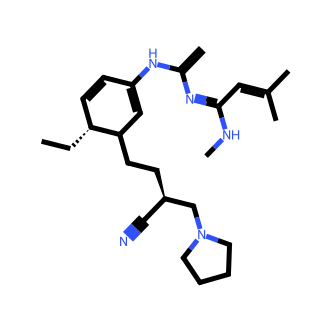 C=C(/N=C(\C=C(C)C)NC)NC1=CC(CC[C@H](C#N)CN2CCCC2)[C@H](CC)C=C1